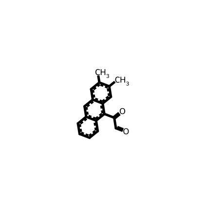 Cc1cc2cc3ccccc3c(C(=O)C=O)c2cc1C